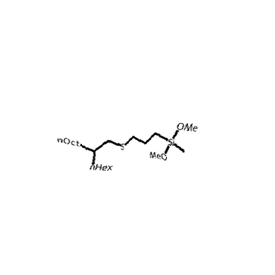 CCCCCCCCC(CCCCCC)CSCCC[Si](C)(OC)OC